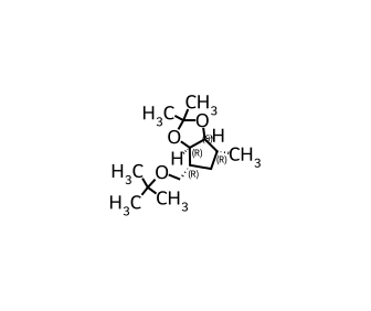 C[C@@H]1C[C@H](COC(C)(C)C)[C@H]2OC(C)(C)O[C@H]21